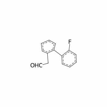 O=CCc1ccccc1-c1ccccc1F